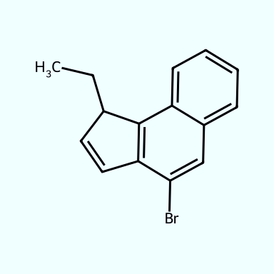 CCC1C=Cc2c(Br)cc3ccccc3c21